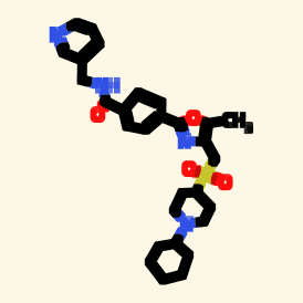 Cc1oc(-c2ccc(C(=O)NCc3cccnc3)cc2)nc1CS(=O)(=O)C1CCN(C2CCCCC2)CC1